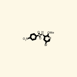 COc1ncc(Br)cc1NS(=O)(=O)c1ccc([N+](=O)[O-])cc1